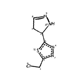 ClCc1nnc(C2CC=NN2)s1